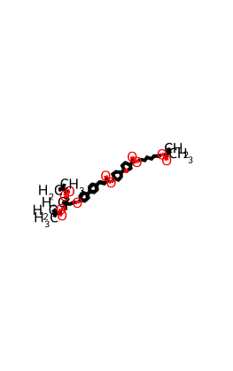 C=C(C)C(=O)OCCCCCCOC(=O)C1CCC(C2CCC(OC(=O)/C=C/c3ccc(-c4ccc(OCCC(C)(COC(=O)C(=C)C)COC(=O)C(=C)C)cc4)cc3)CC2)CC1